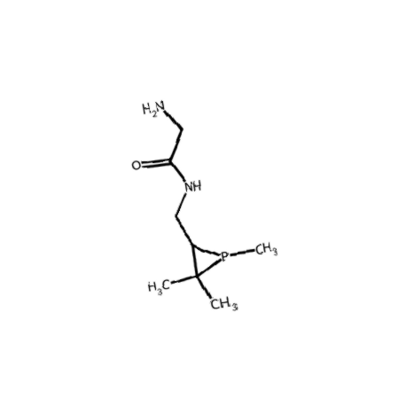 CP1C(CNC(=O)CN)C1(C)C